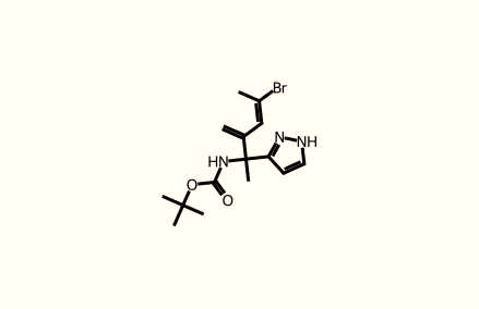 C=C(/C=C(\C)Br)C(C)(NC(=O)OC(C)(C)C)c1cc[nH]n1